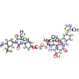 Cc1ncsc1-c1ccc(CNC(=O)[C@@H]2C[C@@H](O)CN2C(=O)C(NC(=O)COCCOc2ccc(N3C(=O)N(c4ccc(C#N)c(C(F)(F)F)c4)C(=O)C3(C)C)cc2)C(C)(C)C)cc1